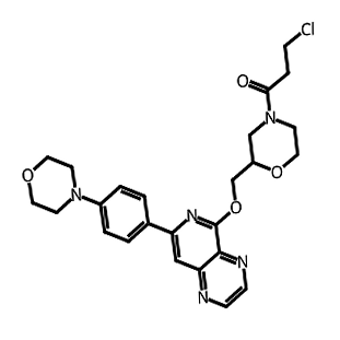 O=C(CCCl)N1CCOC(COc2nc(-c3ccc(N4CCOCC4)cc3)cc3nccnc23)C1